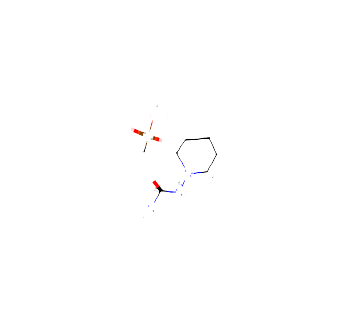 CS(=O)(=O)O.NC(=O)NN1CCCCC1